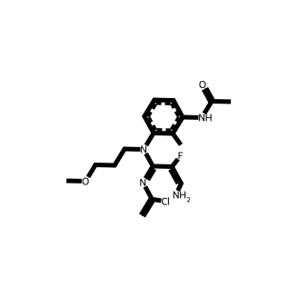 C=C(Cl)/N=C(\C(F)=C/N)N(CCCOC)c1cccc(NC(C)=O)c1C